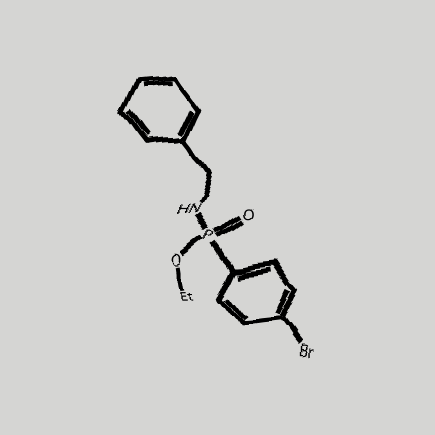 CCOP(=O)(NCc1ccccc1)c1ccc(Br)cc1